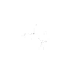 CC(C)[Si](C)(C)C(C)O